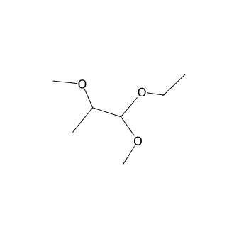 CCOC(OC)C(C)OC